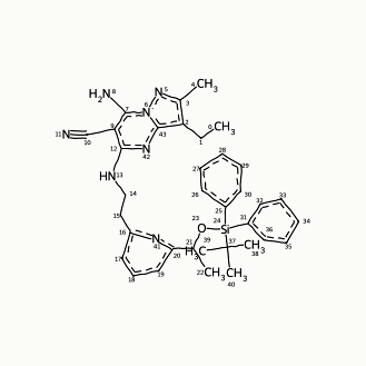 CCc1c(C)nn2c(N)c(C#N)c(NCCc3cccc(C(C)O[Si](c4ccccc4)(c4ccccc4)C(C)(C)C)n3)nc12